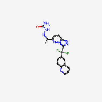 C/C(=N/NC(N)=O)c1ccc2nnc(C(F)(F)c3ccc4ncccc4c3)n2n1